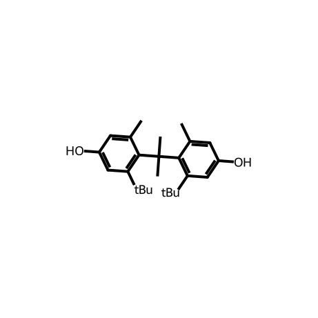 Cc1cc(O)cc(C(C)(C)C)c1C(C)(C)c1c(C)cc(O)cc1C(C)(C)C